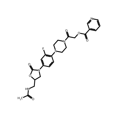 CC(=O)NCC1CN(c2ccc(N3CCN(C(=O)COC(=O)c4cccnc4)CC3)c(F)c2)C(=O)O1